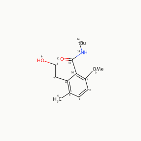 COc1ccc(C)c(CCO)c1C(=O)NC(C)(C)C